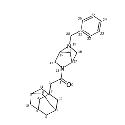 O=C(CC12CC3CC(CC(C3)C1)C2)N1CC2CC1CN2Cc1ccccc1